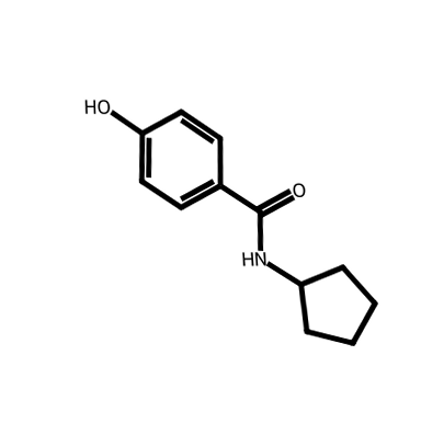 O=C(NC1CCCC1)c1ccc(O)cc1